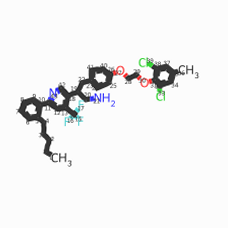 CCCCCc1ccccc1-c1cc(C(F)(F)F)c(C(CN)Cc2ccc(OCCOc3c(Cl)cc(C)cc3Cl)cc2)cn1